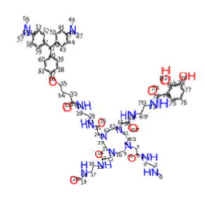 CNCCNC(=O)CN1CCN(CC(=O)NCCNC=O)CCN(CC(=O)NCCNC(=O)CCCOc2ccc(C(c3ccc(N(C)C)cc3)c3ccc(N(C)C)cc3)cc2)CCN(CC(=O)NCCNC(=O)c2cccc(O)c2O)CC1